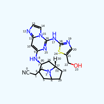 N#CCCN1C2CC[C@@H](Nc3cc4nccn4c(Nc4ncc(CO)s4)n3)C[C@@H]1CC2